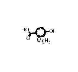 O=C(O)c1ccc(O)cc1.[MgH2]